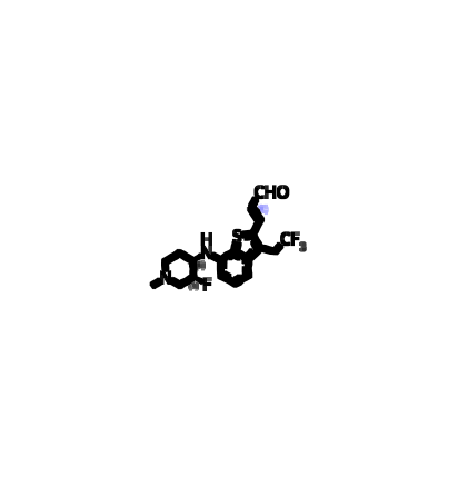 CN1CC[C@@H](Nc2cccc3c(CC(F)(F)F)c(/C=C/C=O)sc23)[C@@H](F)C1